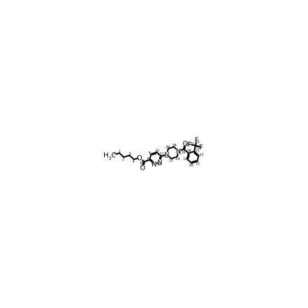 CCCCCOC(=O)c1ccc(N2CCN(C(=O)c3ccccc3C(F)(F)F)CC2)nn1